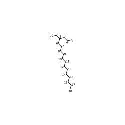 [CH2]CC(CCC)CCCCCCCCCCCCC